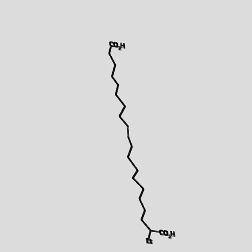 CCC(CCCCCCCCCCCCCCCCCC(=O)O)C(=O)O